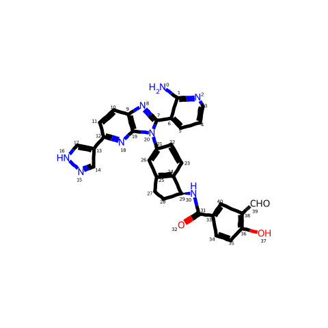 Nc1ncccc1-c1nc2ccc(-c3cn[nH]c3)nc2n1-c1ccc2c(c1)CC[C@@H]2NC(=O)c1ccc(O)c(C=O)c1